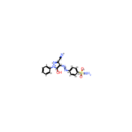 N#Cc1nn(-c2ccccc2)c(O)c1N=Nc1ccc(S(N)(=O)=O)cc1